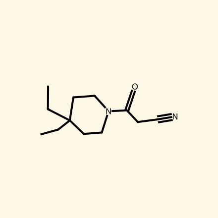 CCC1(CC)CCN(C(=O)CC#N)CC1